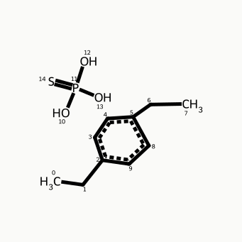 CCc1ccc(CC)cc1.OP(O)(O)=S